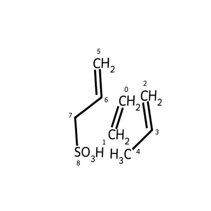 C=C.C=CC.C=CCS(=O)(=O)O